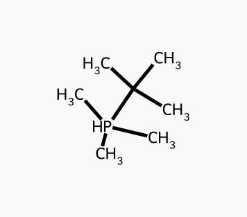 CC(C)(C)[PH](C)(C)C